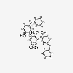 Cc1c(-c2cc(Cc3ccccc3)ccc2O)cc(C=O)cc1-c1cc(Cc2ccccc2)ccc1O